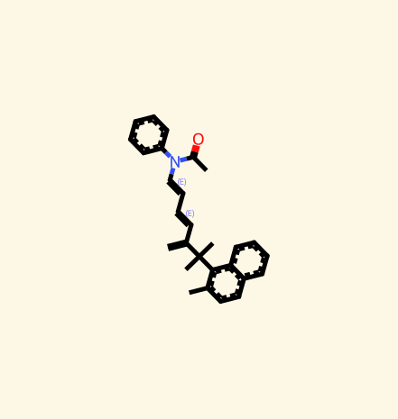 C=C(/C=C/C=C/N(C(C)=O)c1ccccc1)C(C)(C)c1c(C)ccc2ccccc12